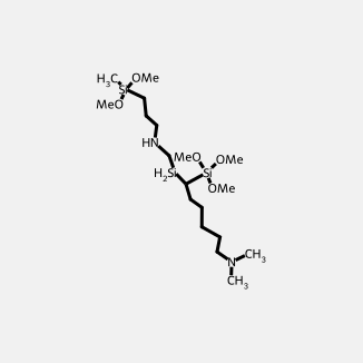 CO[Si](C)(CCCNC[SiH2]C(CCCCCN(C)C)[Si](OC)(OC)OC)OC